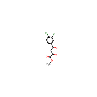 COC(=O)C(=O)CC(=O)c1ccc(Cl)c(Cl)c1